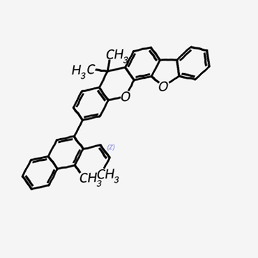 C/C=C\c1c(-c2ccc3c(c2)Oc2c(ccc4c2oc2ccccc24)C3(C)C)cc2ccccc2c1C